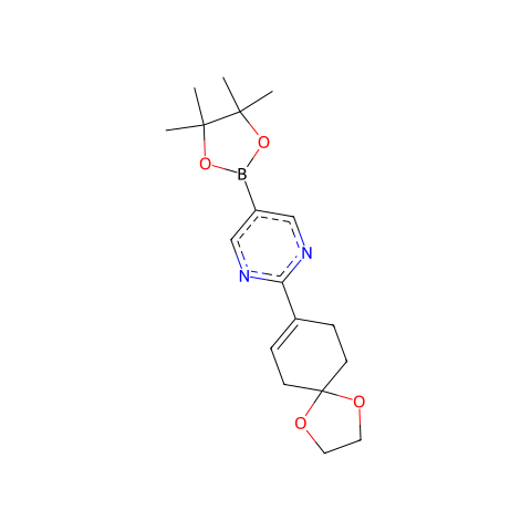 CC1(C)OB(c2cnc(C3=CCC4(CC3)OCCO4)nc2)OC1(C)C